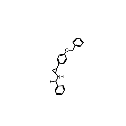 FC(NC1CC1c1ccc(OCc2ccccc2)cc1)c1ccccc1